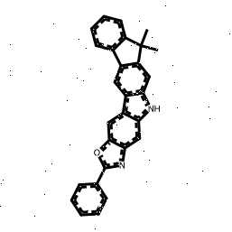 CC1(C)c2ccccc2-c2cc3c(cc21)[nH]c1cc2nc(-c4ccccc4)oc2cc13